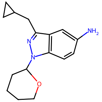 Nc1ccc2c(c1)c(CC1CC1)nn2C1CCCCO1